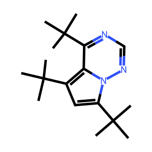 CC(C)(C)c1cc(C(C)(C)C)n2ncnc(C(C)(C)C)c12